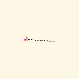 CCCCCC=CCC=CCC=CCC=CCC=CCCC(=O)[N+](=O)[O-]